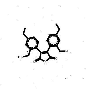 CCc1ccc(C2=C(c3ccc(CC)cc3CN)C(=O)NC2=O)c(CN)c1